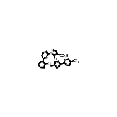 O=C(O)c1cnn(-c2cccc(-c3ccccc3OCc3ccc(-c4ccc(C(F)(F)F)cn4)cc3)n2)c1C(F)(F)F